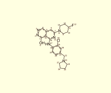 Oc1nncc2cc(N3CCC(F)CC3)nc(Nc3ccc(CN4CCCC4)cc3Cl)c12